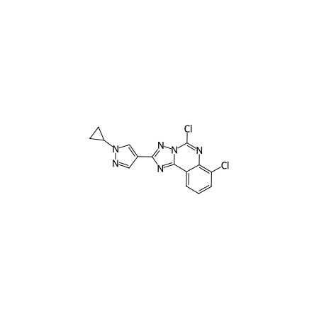 Clc1cccc2c1nc(Cl)n1nc(-c3cnn(C4CC4)c3)nc21